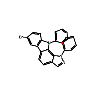 Brc1ccc2c(c1)c1ccc3cnn(-c4ccccc4)c3c1n2-c1ccccc1